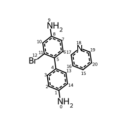 Nc1ccc(-c2ccc(N)cc2Br)cc1.c1ccncc1